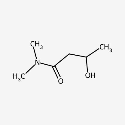 CC(O)CC(=O)N(C)C